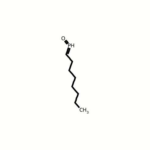 CCCCCCCC=[PH]=O